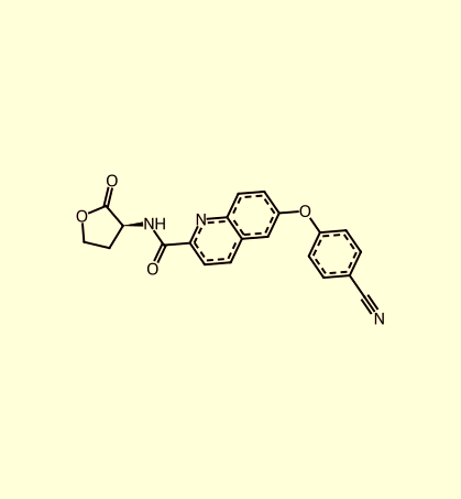 N#Cc1ccc(Oc2ccc3nc(C(=O)N[C@H]4CCOC4=O)ccc3c2)cc1